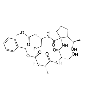 COC(=O)C[C@@H](CF)NC(=O)[C@@]1(NC(=O)[C@H](CO)NC(=O)[C@H](C)NC(=O)OCc2ccccc2)CCCC1[C@@H](C)O